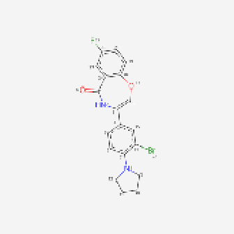 O=C1NC(c2ccc(N3CCCC3)c(Br)c2)=COc2ccc(F)cc21